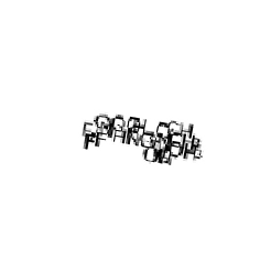 CC(C)(C)N(C(=O)O)C12CCC(NC(=O)COc3cccc(C(F)(F)F)n3)(CC1)C[C@@H]2O